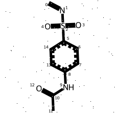 C=NS(=O)(=O)c1ccc(NC(C)=O)cc1